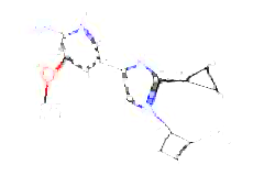 CC1=CCC1n1cc(-c2cnc(N)c(OC(F)(F)F)c2)nc1C1CC1